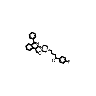 O=Cc1c(N2CCN(CCCC(=O)c3ccc(F)cc3)CC2)nc(-c2ccccc2)c2ccccc12